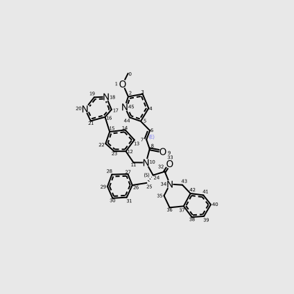 COc1ccc(/C=C/C(=O)N(Cc2ccc(-c3cncnc3)cc2)[C@@H](Cc2ccccc2)C(=O)N2CCc3ccccc3C2)cn1